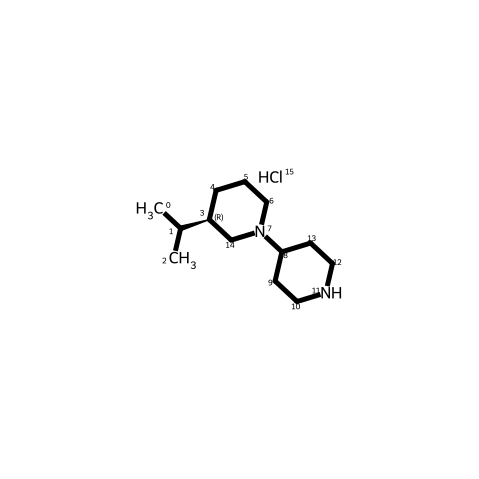 CC(C)[C@H]1CCCN(C2CCNCC2)C1.Cl